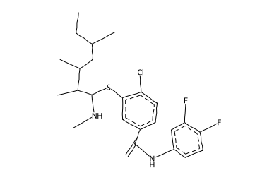 C=C(Nc1ccc(F)c(F)c1)c1ccc(Cl)c(SC(NC)C(C)C(C)CC(C)CC)c1